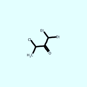 CCC(CC)C(=O)C(C)Cl